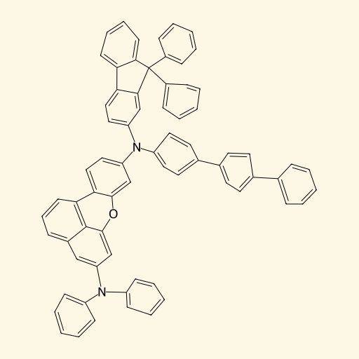 c1ccc(-c2ccc(-c3ccc(N(c4ccc5c(c4)Oc4cc(N(c6ccccc6)c6ccccc6)cc6cccc-5c46)c4ccc5c(c4)C(c4ccccc4)(c4ccccc4)c4ccccc4-5)cc3)cc2)cc1